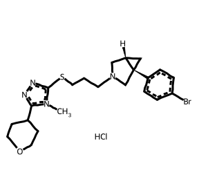 Cl.Cn1c(SCCCN2C[C@@H]3C[C@]3(c3ccc(Br)cc3)C2)nnc1C1CCOCC1